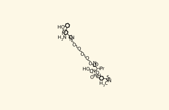 Cc1ncsc1-c1ccc(CNC(=O)[C@@H]2C[C@@H](O)CN2C(=O)[C@@H](c2cc(OCCOCCOCCOCCOCCn3cc(-c4cc(-c5ccccc5O)nnc4N)cn3)no2)C(C)C)cc1